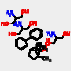 CC12CCC(CC1=O)C2(C)C.NC(CO)CO.NC(CO)CO.NC(CO)CO.c1ccc(-c2ccccc2)cc1